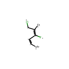 CCC/C=C\C(F)=C(\CC)CCl